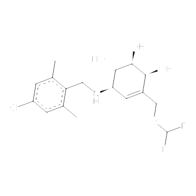 Cc1cc(Cl)cc(C)c1CN[C@@H]1C=C(COC(F)F)[C@H](O)[C@H](O)[C@H]1O